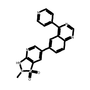 CN1Nc2ncc(-c3ccc4ncnc(-c5ccncc5)c4c3)cc2S1(=O)=O